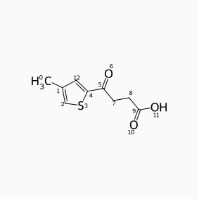 Cc1csc(C(=O)CCC(=O)O)c1